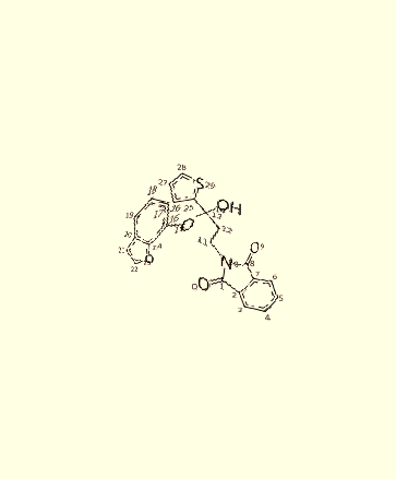 O=C1c2ccccc2C(=O)N1CCC(O)(Oc1cccc2ccoc12)c1cccs1